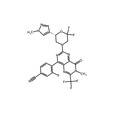 Cn1cc([C@H]2CN(c3nc(-c4ccc(C#N)cc4F)c4nc(C(F)(F)F)n(C)c(=O)c4n3)CC(F)(F)O2)cn1